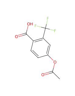 CC(=O)Oc1ccc(C(=O)O)c(C(F)(F)F)c1